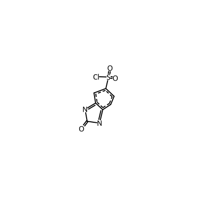 O=C1N=c2ccc(S(=O)(=O)Cl)cc2=N1